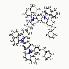 c1ccc(Cc2ccc(N(c3ccc(N(c4ccc(-c5ccc(N(c6ccc(N(c7ccc(Cc8ccccc8)cc7)c7cccc8ccccc78)cc6)c6cccc7ccccc67)cc5)cc4)c4cccc5ccccc45)cc3)c3cccc4ccccc34)cc2)cc1